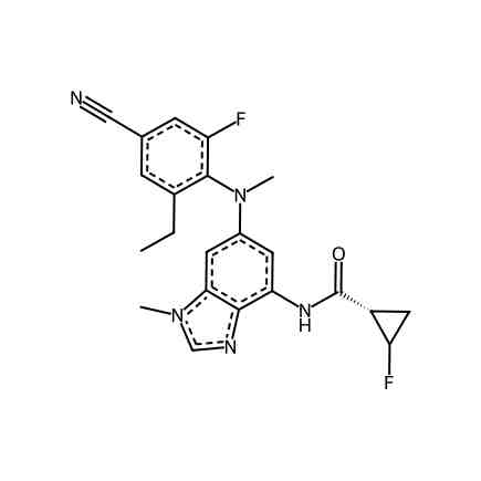 CCc1cc(C#N)cc(F)c1N(C)c1cc(NC(=O)[C@@H]2CC2F)c2ncn(C)c2c1